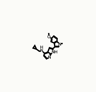 COc1ccc2c(c1)c(-c1cc3c(NCC4CC4)ccnc3[nH]1)cn2C